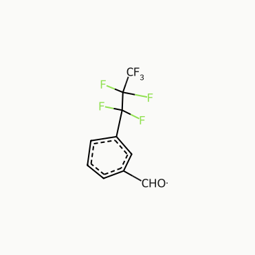 O=[C]c1cccc(C(F)(F)C(F)(F)C(F)(F)F)c1